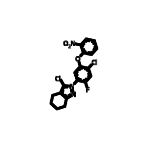 O=[N+]([O-])c1ccccc1Oc1cc(-n2nc3c(c2Cl)CCCC3)c(F)cc1Cl